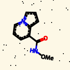 CONC(=O)c1cccn2cccc12